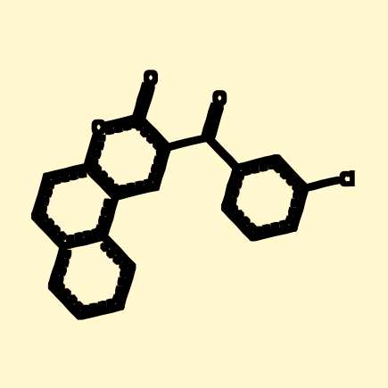 O=C(c1cccc(Cl)c1)c1cc2c(ccc3ccccc32)oc1=O